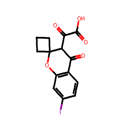 O=C(O)C(=O)C1C(=O)c2ccc(I)cc2OC12CCC2